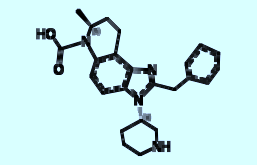 C[C@H]1CCc2c(ccc3c2nc(Cc2ccccc2)n3[C@H]2CCCNC2)N1C(=O)O